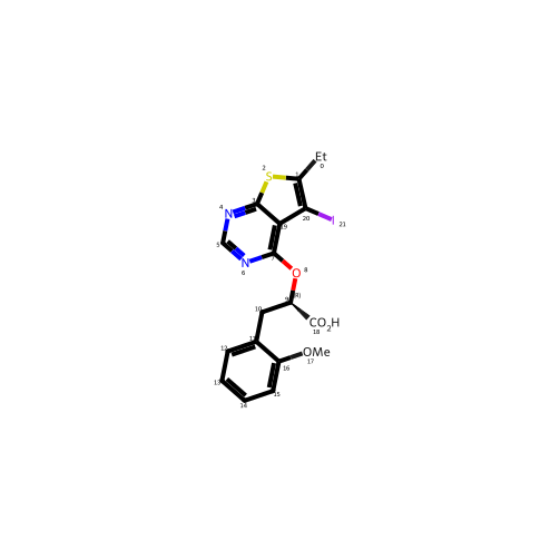 CCc1sc2ncnc(O[C@H](Cc3ccccc3OC)C(=O)O)c2c1I